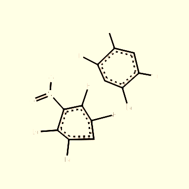 Fc1cc(Br)c(Br)cc1F.O=[N+]([O-])c1c(F)c(F)cc(Br)c1Br